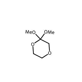 COC1(OC)COCCO1